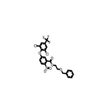 O=C(OCCOCc1ccccc1)c1cc(Oc2c(Cl)cc(C(F)(F)F)cc2Cl)ccc1[N+](=O)[O-]